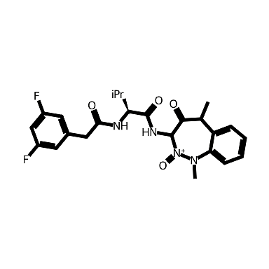 CC1C(=O)C(NC(=O)[C@@H](NC(=O)Cc2cc(F)cc(F)c2)C(C)C)[N+](=O)N(C)c2ccccc21